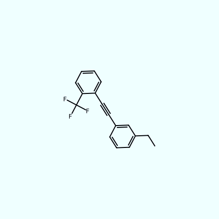 CCc1cccc(C#Cc2ccccc2C(F)(F)F)c1